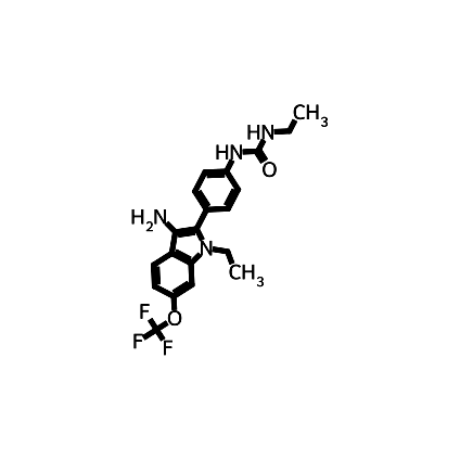 CCNC(=O)Nc1ccc(-c2c(N)c3ccc(OC(F)(F)F)cc3n2CC)cc1